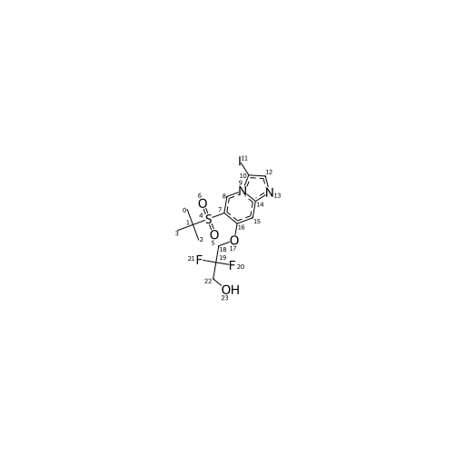 CC(C)(C)S(=O)(=O)c1cn2c(I)cnc2cc1OCC(F)(F)CO